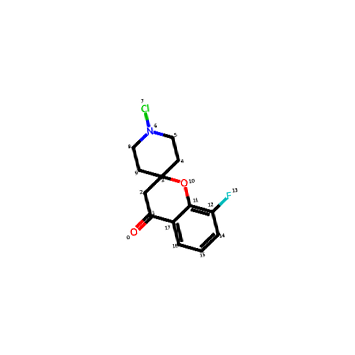 O=C1CC2(CCN(Cl)CC2)Oc2c(F)cccc21